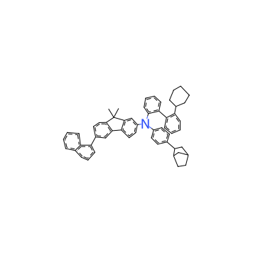 CC1(C)c2ccc(-c3cccc4ccccc34)cc2-c2ccc(N(c3ccc(C4CC5CCC4C5)cc3)c3ccccc3-c3ccccc3C3CCCCC3)cc21